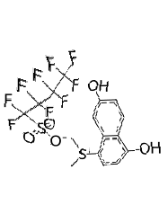 C[S+](C)c1ccc(O)c2ccc(O)cc12.O=S(=O)([O-])C(F)(F)C(F)(F)C(F)(F)C(F)(F)F